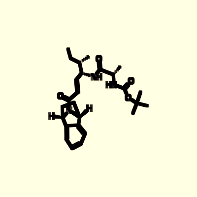 CC[C@H](C)[C@@H](/C=C/C(=O)N1[C@@H]2CC[C@H]1c1ccccc12)NC(=O)[C@H](C)NC(=O)OC(C)(C)C